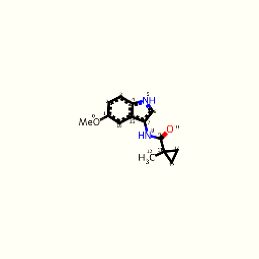 COc1ccc2[nH]cc(NC(=O)C3(C)CC3)c2c1